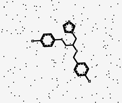 Clc1ccc(CSC(CSc2ccc(Cl)cc2)Cn2ccnc2)cc1